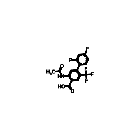 CC(=O)Nc1cc(-c2ccc(F)cc2F)c(C(F)(F)F)cc1C(=O)O